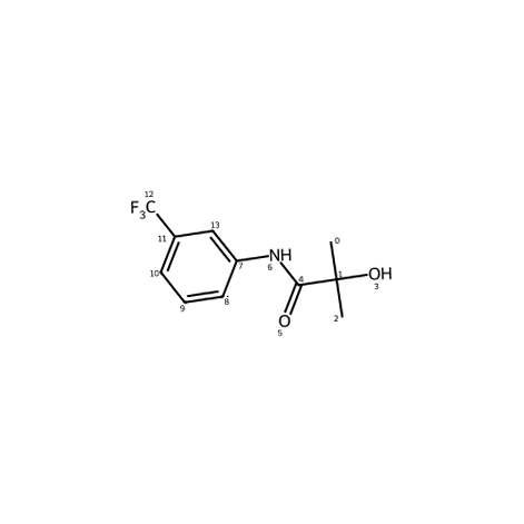 CC(C)(O)C(=O)Nc1[c]ccc(C(F)(F)F)c1